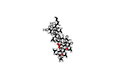 CC=CC[C@@H](C)[C@@H](O)[C@@H](C(=O)N[C@H](C(=O)O)[C@@H](C)O)N(C)C(=O)[C@H](C(C)C)N(C)C(=O)[C@H](CC(C)C)NC(=O)[C@H](CC(C)C)N(C)C(=O)[C@@H](C)NC(=O)[C@H](C)NC(=O)[C@H](CC(C)C)N(C)C(=O)[C@H](CC(C)C)NC(=O)[C@H](CC(C)C)N(C)C(=O)[C@@H](CC(C)C)N(C)C(=O)OC(C)(C)C